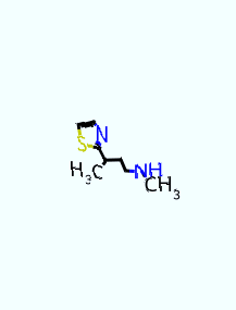 CNCCC(C)c1nccs1